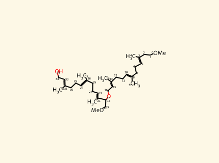 COCCC(C)=CCCC(C)=CCCC(C)=CCOC(COC)C(C)=CCCC(C)=CCCC(C)=CCO